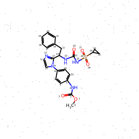 COC(=O)Nc1ccc(-n2ccnc2C(Cc2ccccc2)NC(=O)NS(=O)(=O)C2CC2)cc1